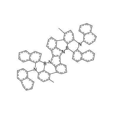 Cc1ccc2c3c1-c1cccc4c1n(c1c5cccc6c5n(c41)B1c4ccc5ccccc5c4N(c4cccc5ccccc45)c4ccc(C)c-6c41)B3c1ccc3ccccc3c1N2c1cccc2ccccc12